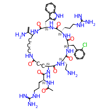 C=C(N)C1CCCNC(=O)CC[C@H](NC(=O)[C@H](CCCNC(=N)N)NC(C)=O)C(=O)N[C@@H](CCN)C(=O)N[C@H](Cc2ccccc2Cl)C(=O)N[C@@H](CCCNC(=N)N)C(=O)N[C@@H](Cc2c[nH]c3ccccc23)C(=O)N1